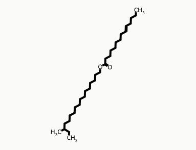 CCCCC=CCCCCCCCC(=O)OCCCCCCCCCCCCCCC(C)CC